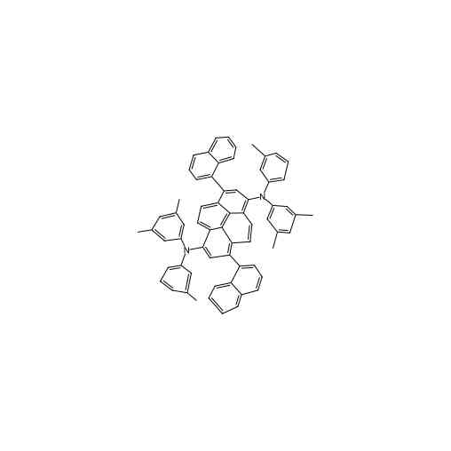 Cc1cccc(N(c2cc(C)cc(C)c2)c2cc(-c3cccc4ccccc34)c3ccc4c(N(c5cccc(C)c5)c5cc(C)cc(C)c5)cc(-c5cccc6ccccc56)c5ccc2c3c54)c1